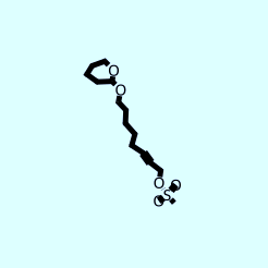 CS(=O)(=O)OCC#CCCCCCOC1CCCCO1